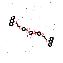 Cc1cc(OC(=O)c2ccc(OCCCCOc3c4ccccc4cc4ccccc34)cc2)ccc1OC(=O)c1ccc(OCCCCOc2c3ccccc3cc3ccccc23)cc1